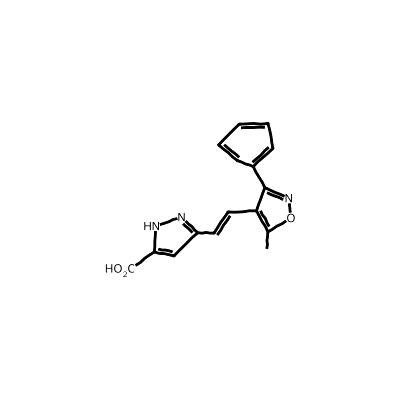 Cc1onc(-c2ccccc2)c1/C=C/c1cc(C(=O)O)[nH]n1